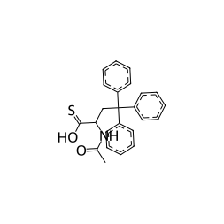 CC(=O)NC(CC(c1ccccc1)(c1ccccc1)c1ccccc1)C(O)=S